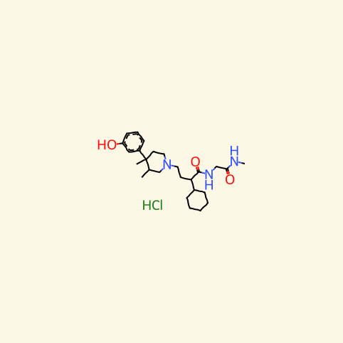 CNC(=O)CNC(=O)C(CCN1CCC(C)(c2cccc(O)c2)C(C)C1)C1CCCCC1.Cl